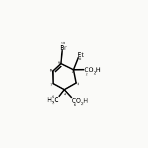 CCC1(C(=O)O)CC(C)(C(=O)O)CC=C1Br